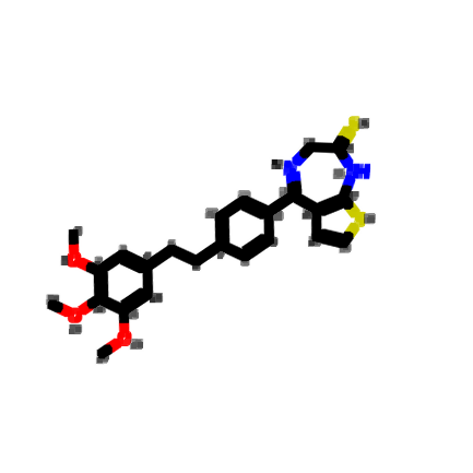 COc1cc(CCc2ccc(C3=NCC(=S)Nc4sccc43)cc2)cc(OC)c1OC